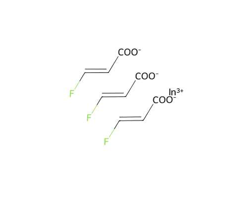 O=C([O-])C=CF.O=C([O-])C=CF.O=C([O-])C=CF.[In+3]